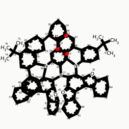 CC(C)(C)c1ccc(N2c3cc(-c4ccccc4-c4ccccc4)cc4c3B(c3c2c2oc5ccccc5c2c2c3oc3ccccc32)c2c(c3oc5ccccc5c3c3c2oc2ccccc23)N4c2ccc(C(C)(C)C)cc2-c2ccccc2)c(-c2ccccc2)c1